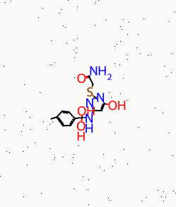 Cc1ccc(C(O)(O)Nc2cc(O)nc(SCC(N)=O)n2)cc1